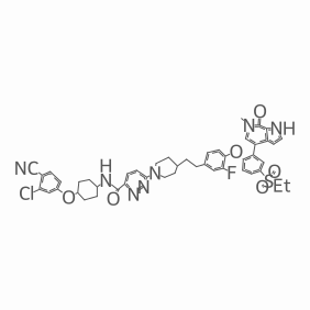 CCS(=O)(=O)c1ccc(Oc2ccc(CCC3CCN(c4ccc(C(=O)NC5CCC(Oc6ccc(C#N)c(Cl)c6)CC5)nn4)CC3)cc2F)c(-c2cn(C)c(=O)c3[nH]ccc23)c1